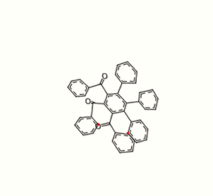 O=C(c1ccccc1)c1c(C(=O)c2ccccc2)c(-c2ccccc2)c(-c2ccccc2)c(-c2ccccc2)c1C(=O)c1ccccc1